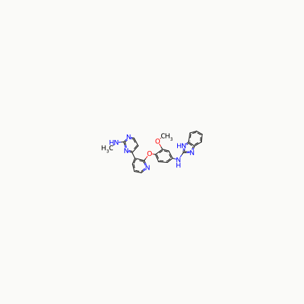 CNc1nccc(-c2cccnc2Oc2ccc(Nc3nc4ccccc4[nH]3)cc2OC)n1